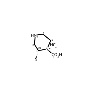 C[C@@H]1CNCCN1C(=O)O.Cl